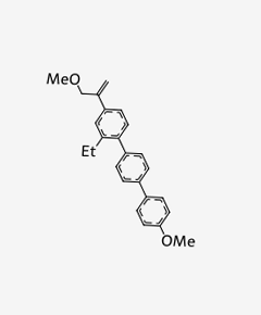 C=C(COC)c1ccc(-c2ccc(-c3ccc(OC)cc3)cc2)c(CC)c1